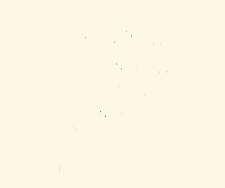 CCN1C(=O)c2c(O)c(=O)c(C(=O)NCc3cccc(Cl)c3F)cn2[C@H]2CC(F)(F)C[C@H]21